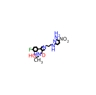 C[C@@H](O)CNC(=O)c1cn(CCCNc2ccc([N+](=O)[O-])c(N)n2)cc1-c1ccc(F)cc1